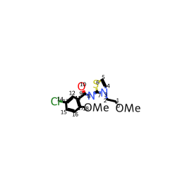 COCCn1ccsc1=NC(=O)c1cc(Cl)ccc1OC